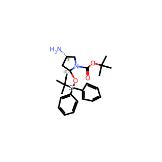 CC(C)(C)OC(=O)N1C[C@@H](N)C[C@]1(C)O[Si](c1ccccc1)(c1ccccc1)C(C)(C)C